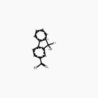 CCC(=O)c1ccc2c(c1)C(F)(F)c1ccccc1-2